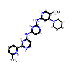 Cc1cccc(-c2nccc(Nc3ccnc(Nc4cc(N5CCCCC5)c(C(=O)O)cn4)n3)n2)n1